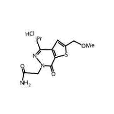 COCc1cc2c(C(C)C)nn(CC(N)=O)c(=O)c2s1.Cl